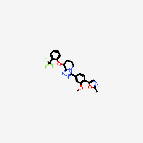 COc1cc(-c2nnc3n2CCCC3Oc2ccccc2C(F)(F)F)ccc1-c1cnc(C)o1